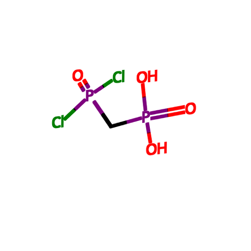 O=P(O)(O)CP(=O)(Cl)Cl